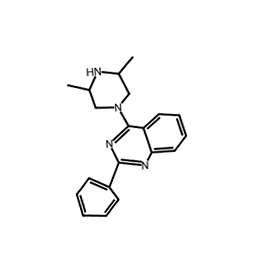 CC1CN(c2nc(-c3ccccc3)nc3ccccc23)CC(C)N1